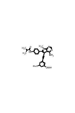 C=C(C)C(=O)Nc1ccc(-c2c(C#Cc3cc(OC)cc(OC)c3)c3c(N)ncnc3n2C)cc1